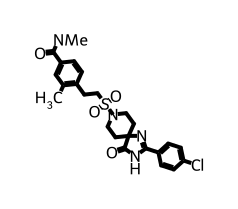 CNC(=O)c1ccc(CCS(=O)(=O)N2CCC3(CC2)N=C(c2ccc(Cl)cc2)NC3=O)c(C)c1